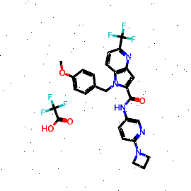 COc1ccc(Cn2c(C(=O)Nc3ccc(N4CCC4)nc3)cc3nc(C(F)(F)F)ccc32)cc1.O=C(O)C(F)(F)F